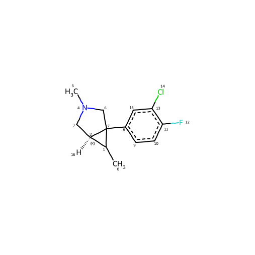 CC1[C@H]2CN(C)CC12c1ccc(F)c(Cl)c1